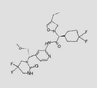 CCC1=CON([C@H](C(=O)Nc2cc([C@@H](COC)N3CC(F)(F)CNC3=O)ccn2)C2CCC(F)(F)CC2)C1